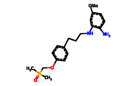 COc1ccc(N)c(NCCCc2ccc(OCP(C)(C)=O)cc2)c1